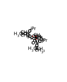 CC(C)c1ccc(N(c2ccc([Si](C)(C)C)cc2)c2ccc3cc4c(cc3c2)C([Si](C)(C)C)([Si](C)(C)C)c2cc(N(c3ccc(C(C)C)cc3)c3ccc([Si](C)(C)C)cc3)c3c(c2-4)C=CCC3)cc1